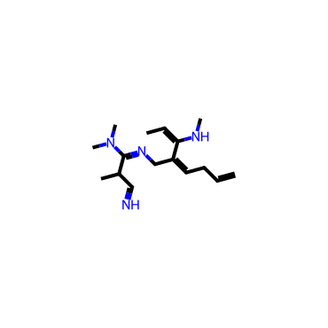 C=CC/C=C(C/N=C(\C(C)C=N)N(C)C)\C(=C/C)NC